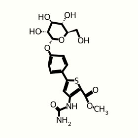 COC(=O)c1sc(-c2ccc(O[C@H]3O[C@H](CO)[C@@H](O)[C@@H](O)[C@H]3O)cc2)cc1NC(N)=O